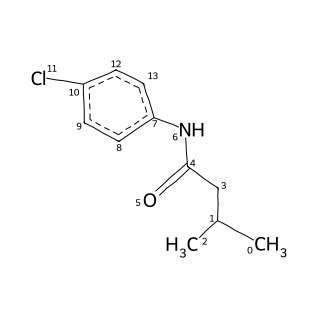 CC(C)CC(=O)Nc1ccc(Cl)cc1